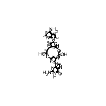 Nc1nc2c(ncn2[C@@H]2OC3C[C@H]2OP(O)OC[C@H]2O[C@@H](n4ccc5c(N)ncnc54)[C@@H](F)[C@@H]2CCC(O)O3)c(=O)[nH]1